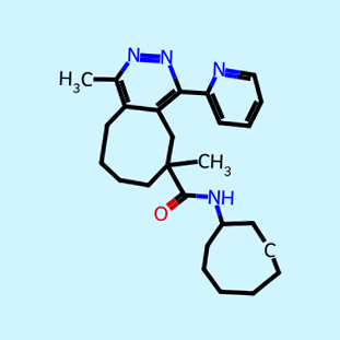 Cc1nnc(-c2ccccn2)c2c1CCCCC(C)(C(=O)NC1CCCCCCC1)C2